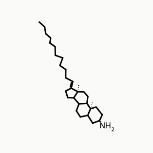 CCCCCCCCCCC/C=C1\CCC2C3CCC4C[C@H](N)CC[C@]4(C)C3CC[C@]12C